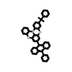 CC(C)(c1ccccc1)c1ccc2c(c1)Oc1cc(-c3c4ccccc4c(-c4ccccc4)c4ccccc34)cc3c1B2c1ccccc1O3